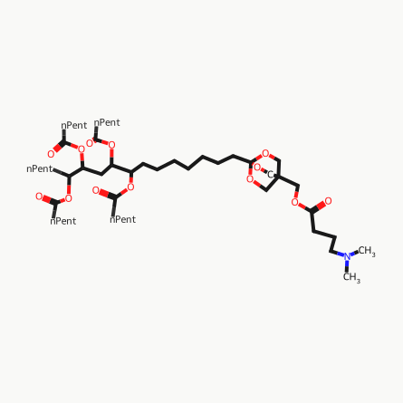 CCCCCC(=O)OC(CCCCC)C(CC(OC(=O)CCCCC)C(CCCCCCCC12OCC(COC(=O)CCCN(C)C)(CO1)CO2)OC(=O)CCCCC)OC(=O)CCCCC